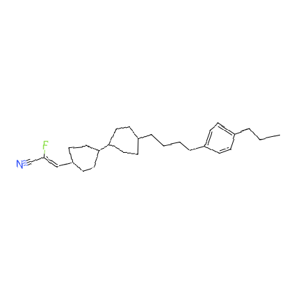 CCCc1ccc(CCCCC2CCC(C3CCC(C=C(F)C#N)CC3)CC2)cc1